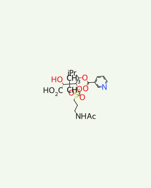 CC(=O)NCCCS(=O)(=O)OC(C(OC(=O)c1cccnc1)C(C)C)C(C)(C)[C@@H](O)C(=O)O